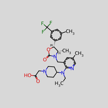 CCN(c1ncc(C)cc1CN1C(=O)O[C@H](c2cc(C)cc(C(F)(F)F)c2)[C@@H]1C)C1CCN(CC(=O)O)CC1